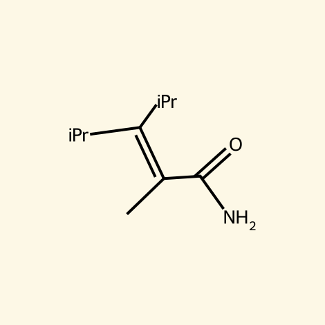 CC(C(N)=O)=C(C(C)C)C(C)C